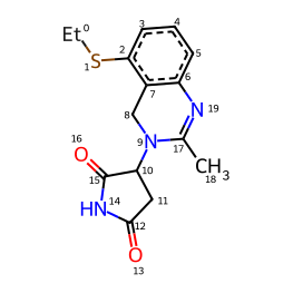 CCSc1cccc2c1CN(C1CC(=O)NC1=O)C(C)=N2